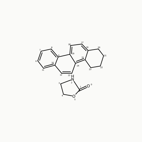 O=C1NCCO1.c1ccc2c(c1)ccc1c3c(ccc12)CCCC3